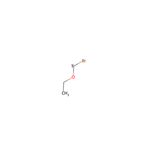 CC[O][Ti][Br]